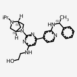 CC(C)N1C[C@@H]2C[C@H]1CN2c1nc(NCCO)cc(-c2ccnc(N[C@@H](C)c3ccccc3)c2)n1